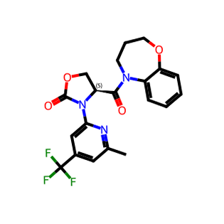 Cc1cc(C(F)(F)F)cc(N2C(=O)OC[C@H]2C(=O)N2CCCOc3ccccc32)n1